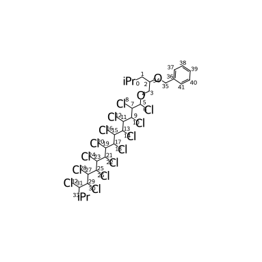 CC(C)CC(COC(Cl)C(Cl)C(Cl)C(Cl)C(Cl)C(Cl)C(Cl)C(Cl)C(Cl)C(Cl)C(Cl)C(Cl)C(Cl)C(Cl)C(C)C)OCc1ccccc1